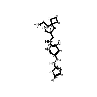 NCCC1(CC(CN)CNc2ncc(SNc3ncc(F)s3)cc2Cl)CCC1